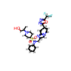 CC(CO)N1CCC(S(=O)(=O)N(Cc2cn3ccc(-c4nnc(C(F)F)o4)cc3n2)c2ccccc2)CC1